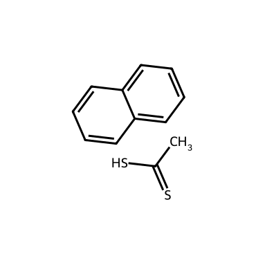 CC(=S)S.c1ccc2ccccc2c1